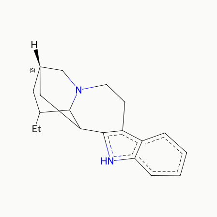 CCC1C[C@H]2CC3c4[nH]c5ccccc5c4CCN(C2)C13